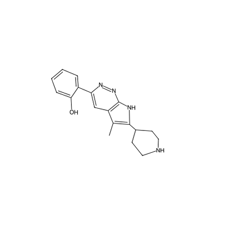 Cc1c(C2CCNCC2)[nH]c2nnc(-c3ccccc3O)cc12